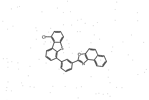 Clc1cccc2sc3c(-c4cccc(-c5nc6c(ccc7ccccc76)o5)c4)cccc3c12